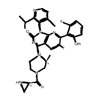 Cc1ccnc(C(C)C)c1-n1c(=O)nc(N2CCN(C(=O)[C@H]3CN3)C[C@@H]2C)c2cc(F)c(-c3c(O)cccc3F)nc21